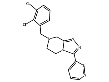 Clc1cccc(CN2CCn3c(nnc3-c3cccnn3)C2)c1Cl